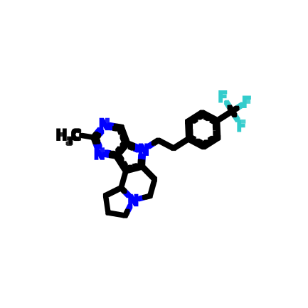 Cc1ncc2c(n1)c1c(n2CCc2ccc(C(F)(F)F)cc2)CCN2CCCC12